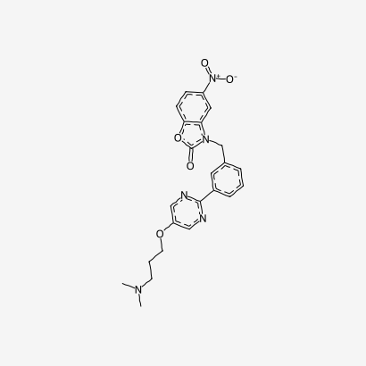 CN(C)CCCOc1cnc(-c2cccc(Cn3c(=O)oc4ccc([N+](=O)[O-])cc43)c2)nc1